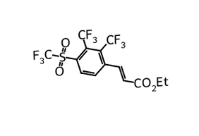 CCOC(=O)C=Cc1ccc(S(=O)(=O)C(F)(F)F)c(C(F)(F)F)c1C(F)(F)F